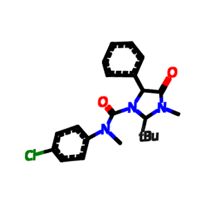 CN(C(=O)N1C(c2ccccc2)C(=O)N(C)C1C(C)(C)C)c1ccc(Cl)cc1